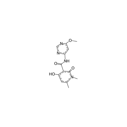 COc1cc(NC(=O)c2c(O)cc(C)n(C)c2=O)ncn1